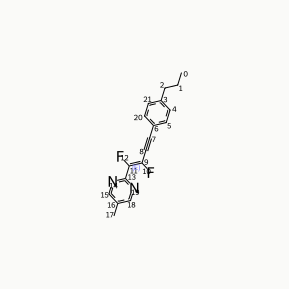 CCCc1ccc(C#C/C(F)=C(\F)c2ncc(C)cn2)cc1